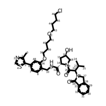 Cc1ncsc1-c1ccc(CNC(=O)[C@@H]2C[C@@H](O)CN2C(=O)C(C(C)C)N2Cc3ccccc3C2=O)c(OCCCCOCCCCCl)c1